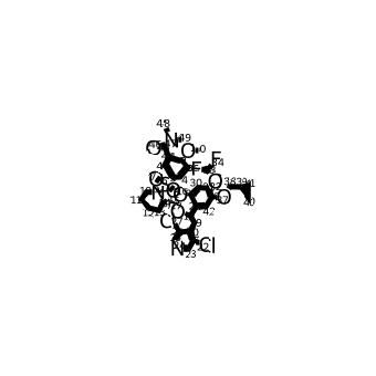 COc1ccc(S(=O)(=O)N2CCCC[C@H]2C(=O)OC(Cc2c(Cl)cncc2Cl)c2ccc(OC(F)F)c(OCC3CC3)c2)cc1C(=O)N(C)C